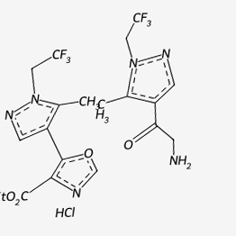 CCOC(=O)c1ncoc1-c1cnn(CC(F)(F)F)c1C.Cc1c(C(=O)CN)cnn1CC(F)(F)F.Cl